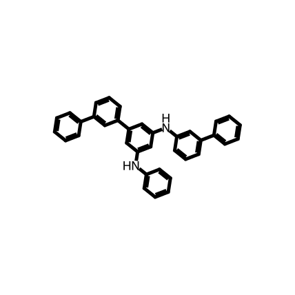 c1ccc(Nc2cc(Nc3cccc(-c4ccccc4)c3)cc(-c3cccc(-c4ccccc4)c3)c2)cc1